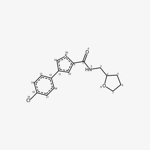 O=C(NCC1CCCO1)c1cc(-c2ccc(Cl)cc2)cs1